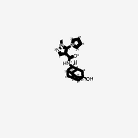 Cn1ncc(C(=O)N[C@H]2C3CC4CC2C[C@@](O)(C4)C3)c1-n1cccc1